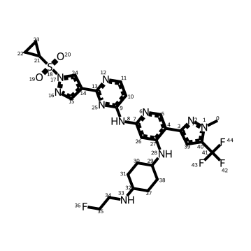 Cn1nc(-c2cnc(Nc3ccnc(-c4cnn(S(=O)(=O)C5CC5)c4)n3)cc2NC2CCC(NCCF)CC2)cc1C(F)(F)F